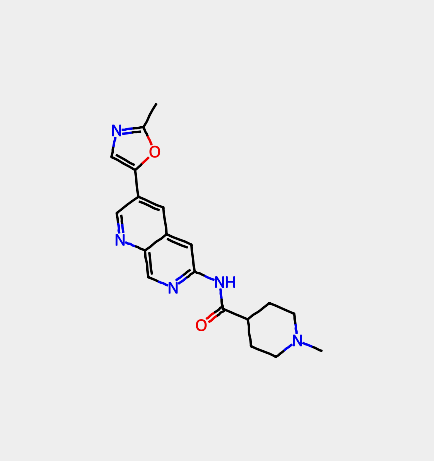 Cc1ncc(-c2cnc3cnc(NC(=O)C4CCN(C)CC4)cc3c2)o1